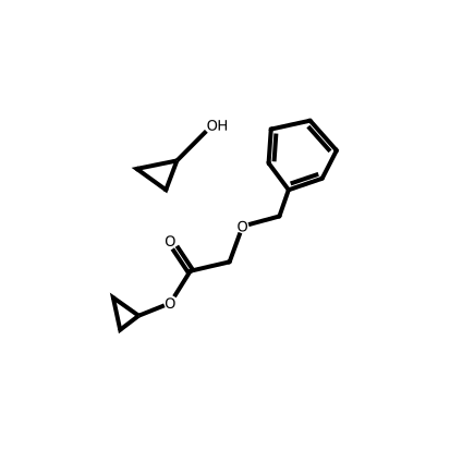 O=C(COCc1ccccc1)OC1CC1.OC1CC1